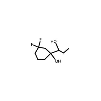 CCC(O)C1(O)CCCC(F)(F)C1